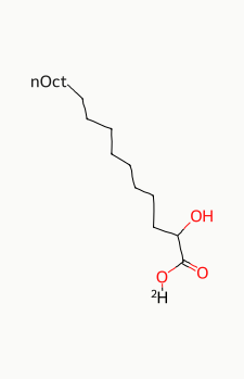 [2H]OC(=O)C(O)CCCCCCCCCCCCCCCC